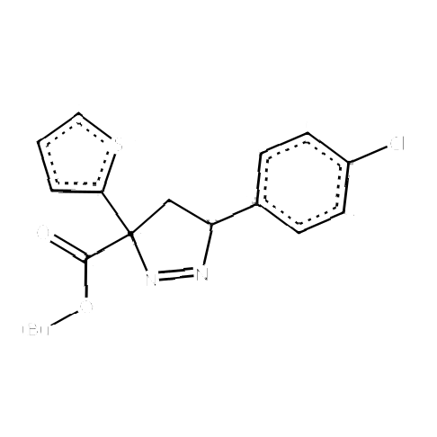 CC(C)(C)OC(=O)C1(c2cccs2)CC(c2ccc(Cl)cc2)N=N1